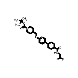 CC(C)(C)OC(=O)N1CCC(COc2ccc(C3=CCC(C(=O)NCC(F)F)CC3)cn2)CC1